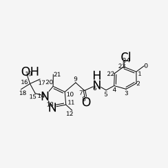 Cc1ccc(CNC(=O)Cc2c(C)nn(CC(C)(C)O)c2C)cc1Cl